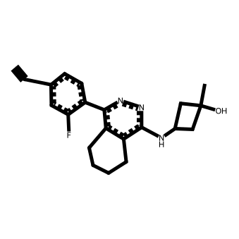 C#Cc1ccc(-c2nnc(NC3CC(C)(O)C3)c3c2CCCC3)c(F)c1